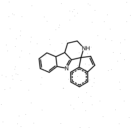 C1=CCC2C(=C1)N=C1C2CCNC12C=Cc1ccccc12